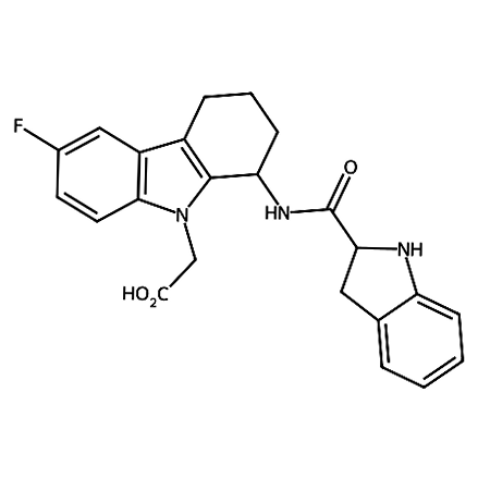 O=C(O)Cn1c2c(c3cc(F)ccc31)CCCC2NC(=O)C1Cc2ccccc2N1